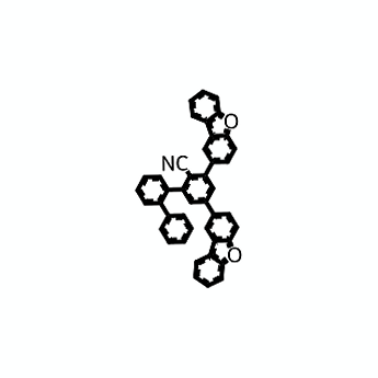 N#Cc1c(-c2ccc3oc4ccccc4c3c2)cc(-c2ccc3oc4ccccc4c3c2)cc1-c1ccccc1-c1ccccc1